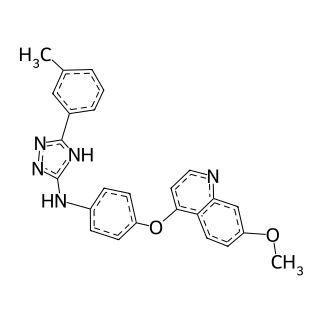 COc1ccc2c(Oc3ccc(Nc4nnc(-c5cccc(C)c5)[nH]4)cc3)ccnc2c1